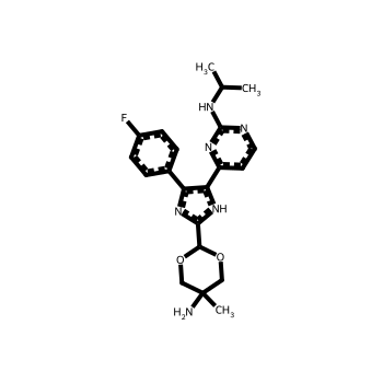 CC(C)Nc1nccc(-c2[nH]c(C3OCC(C)(N)CO3)nc2-c2ccc(F)cc2)n1